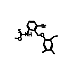 CCc1cc(C)c(C)cc1OCc1c(Br)cccc1NC(=S)OC